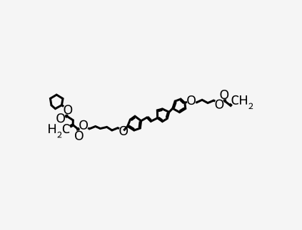 C=CC(=O)OCCCCOc1ccc(-c2ccc(/C=C/c3ccc(OCCCCCCOC(=O)C(=C)CC(=O)OC4CCCCC4)cc3)cc2)cc1